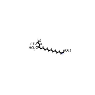 CCCCCCCC/C=C\CCCCCCCCCCC(CC(CC)CCCC)C(=O)O